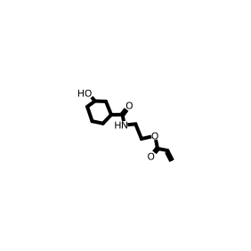 C=CC(=O)OCCNC(=O)C1CCCC(O)C1